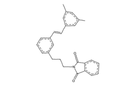 Cc1cc(C)cc(C=Cc2cccc(CCCN3C(=O)c4ccccc4C3=O)c2)c1